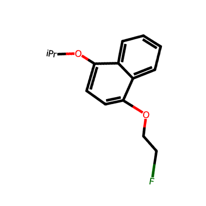 CC(C)Oc1ccc(OCCF)c2ccccc12